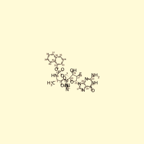 CC(C)COC(=O)[C@H](C)NP(=O)(OC[C@@]1(N=[N+]=[N-])O[C@@H](n2cnc3c(=O)[nH]c(N)nc32)[C@H](F)[C@@H]1O)Oc1cccc2ccccc12